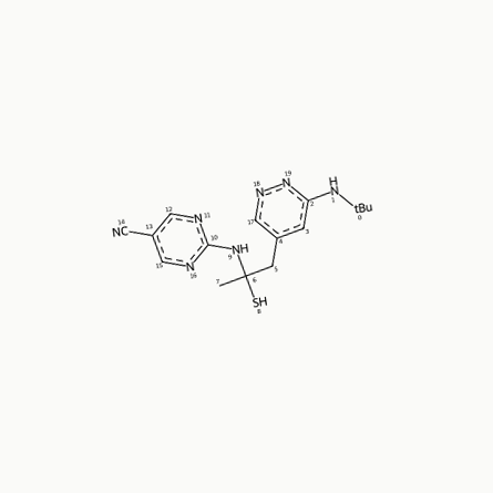 CC(C)(C)Nc1cc(CC(C)(S)Nc2ncc(C#N)cn2)cnn1